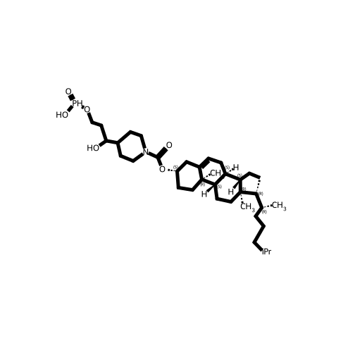 CC(C)CCC[C@@H](C)[C@H]1CC[C@H]2[C@@H]3CC=C4C[C@@H](OC(=O)N5CCC(C(O)CCO[PH](=O)O)CC5)CC[C@]4(C)[C@H]3CC[C@]12C